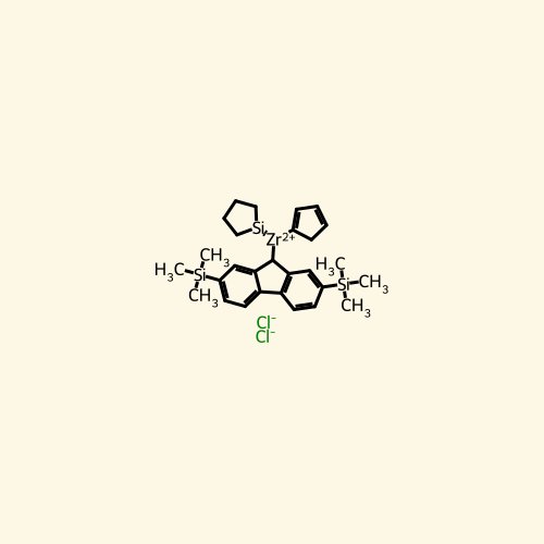 C[Si](C)(C)c1ccc2c(c1)[CH]([Zr+2]([C]1=CC=CC1)=[Si]1CCCC1)c1cc([Si](C)(C)C)ccc1-2.[Cl-].[Cl-]